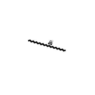 CCCCCCCCCCCCCC(CCCCCCCCCC)[N+](C)(C)[O-]